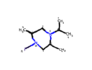 CC1CN(C(C)C)C(C)CN1I